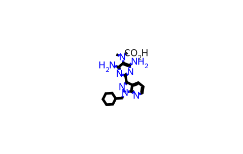 CN(C(=O)O)c1c(N)nc(-c2nn(CC3CCCCC3)c3ncccc23)nc1N